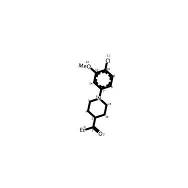 CCC(=O)C1CCN(c2ccc(Cl)c(OC)c2)CC1